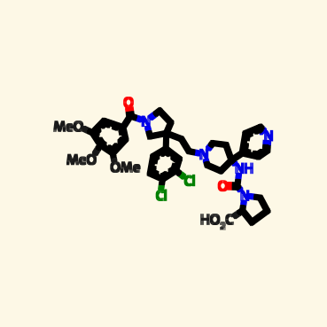 COc1cc(C(=O)N2CCC(CCN3CCC(NC(=O)N4CCCC4C(=O)O)(c4ccncc4)CC3)(c3ccc(Cl)c(Cl)c3)C2)cc(OC)c1OC